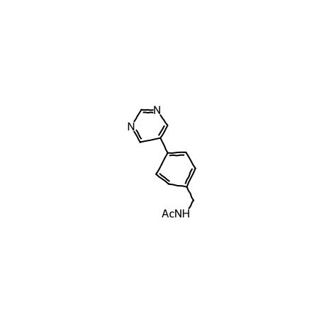 CC(=O)NCc1ccc(-c2cncnc2)cc1